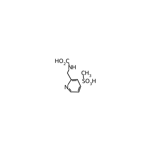 CS(=O)(=O)O.O=C(O)NCc1ccccn1